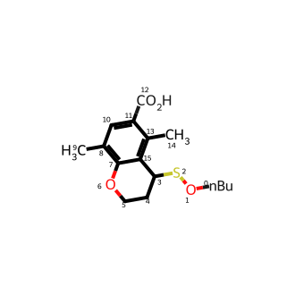 CCCCOSC1CCOc2c(C)cc(C(=O)O)c(C)c21